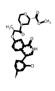 COC(=O)[C@@H]1CN(C(=O)[C@@H](C)Oc2ccc3c(-c4ccc(F)cc4Cl)c[nH]c(=O)c3c2)CCO1